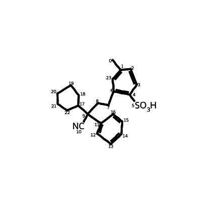 Cc1ccc(S(=O)(=O)O)c(CCC(C#N)(c2ccccc2)C2CCCCC2)c1